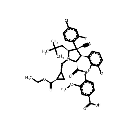 CCOC(=O)[C@@H]1CC1CN1[C@@H](CC(C)(C)C)[C@](C#N)(c2ccc(Cl)cc2F)[C@@H](c2cccc(Cl)c2F)[C@@H]1C(=O)Nc1ccc(C(=O)O)cc1OC